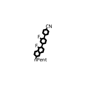 CCCCCc1ccc2c(F)c(-c3ccc(-c4ccc(C#N)cc4)c(F)c3)ccc2c1